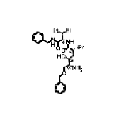 CCC(CC)[C@H](NC(=O)[C@@H](C[C@H](O)[C@@H](N)COCc1ccccc1)C(C)C)C(=O)NCc1ccccc1